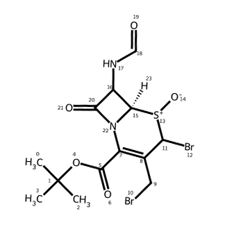 CC(C)(C)OC(=O)C1=C(CBr)C(Br)[S+]([O-])[C@@H]2C(NC=O)C(=O)N12